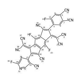 N#CC(C#N)=C1C(c2cc(C#N)c(C#N)cc2F)=C(C#N)c2c(F)c3c(c(F)c21)C(C#N)=C(c1cc(F)ncc1C#N)C3=C(C#N)C#N